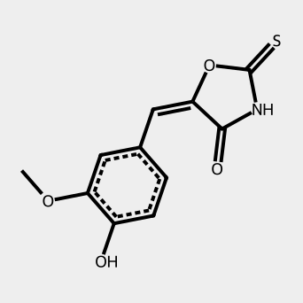 COc1cc(C=C2OC(=S)NC2=O)ccc1O